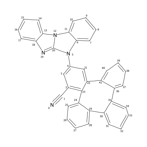 N#Cc1cc(-n2c3ccccc3n3c4ccccc4nc23)cc2c1-c1ccccc1-c1ccccc1-c1ccccc1-2